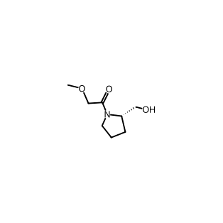 COCC(=O)N1CCC[C@H]1CO